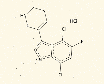 Cl.Fc1cc(Cl)c2[nH]cc(C3=CCCNC3)c2c1Cl